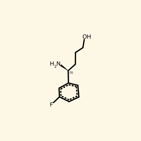 N[C@@H](CCCO)c1cccc(F)c1